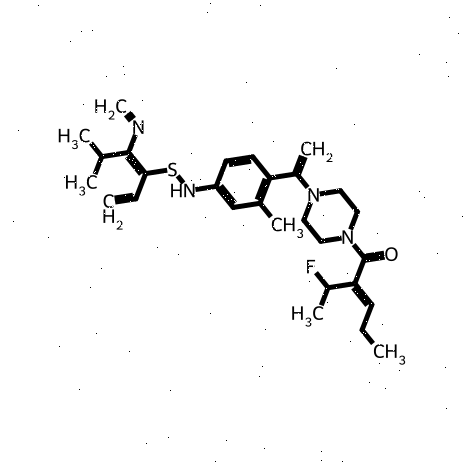 C=C/C(SNc1ccc(C(=C)N2CCN(C(=O)/C(=C/CC)C(C)F)CC2)c(C)c1)=C(/N=C)C(C)C